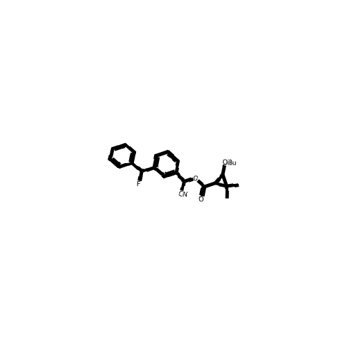 CC(C)COC1C(C(=O)OC(C#N)c2cccc(C(F)c3ccccc3)c2)C1(C)C